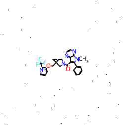 Cn1c(-c2ccccc2)c(C(=O)N2CC3CC3(COc3cccnc3C(F)(F)F)C2)c2nccnc21